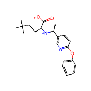 C[C@H](N[C@@H](CCC(C)(C)C)C(=O)O)c1ccc(Oc2ccccc2)nc1